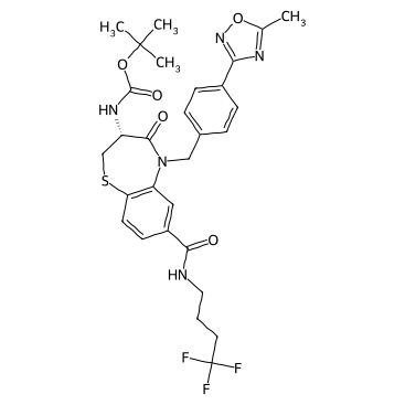 Cc1nc(-c2ccc(CN3C(=O)[C@@H](NC(=O)OC(C)(C)C)CSc4ccc(C(=O)NCCCC(F)(F)F)cc43)cc2)no1